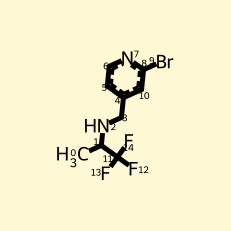 CC(NCc1ccnc(Br)c1)C(F)(F)F